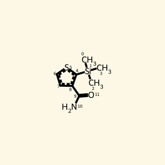 C[Si](C)(C)c1sccc1C(N)=O